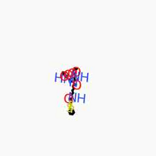 CC(C)(C)OC(=O)NCCN(CCNC(=O)OC(C)(C)C)C(=O)CCCCCNC(=O)CCSSc1ccccc1